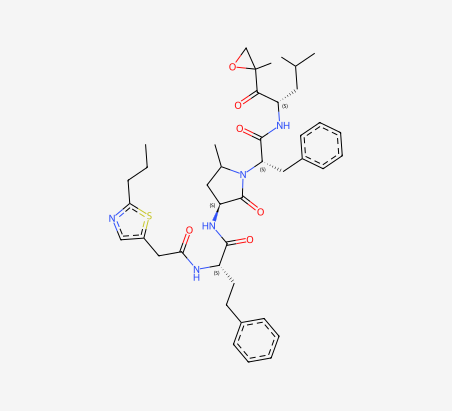 CCCc1ncc(CC(=O)N[C@@H](CCc2ccccc2)C(=O)N[C@H]2CC(C)N([C@@H](Cc3ccccc3)C(=O)N[C@@H](CC(C)C)C(=O)C3(C)CO3)C2=O)s1